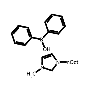 CCCCCCCCN1C=CN(C)C1.OB(c1ccccc1)c1ccccc1